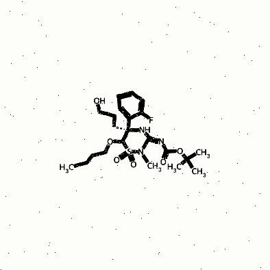 CCCCOC1[C@@](CCCO)(c2ccccc2F)N/C(=N/C(=O)OC(C)(C)C)N(C)S1(=O)=O